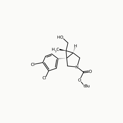 CC(C)(C)OC(=O)N1C[C@H]2[C@@](c3ccc(Cl)c(Cl)c3)(C1)[C@]2(C)CO